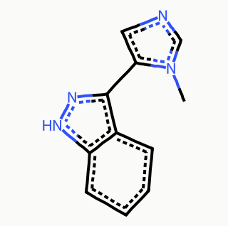 Cn1cncc1-c1n[nH]c2ccccc12